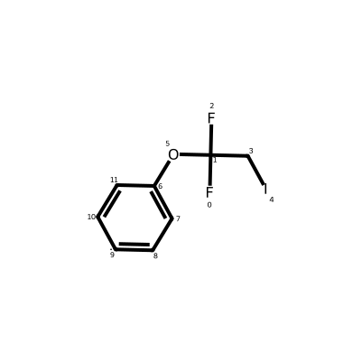 FC(F)(CI)Oc1cc[c]cc1